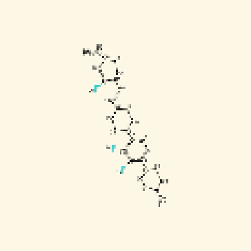 CCC1CCC(c2ccc(C3CCC(/C=C/C4CCC(OC)C=C4F)CC3)c(F)c2F)CC1